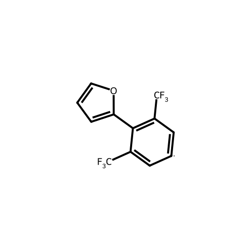 FC(F)(F)c1c[c]cc(C(F)(F)F)c1-c1ccco1